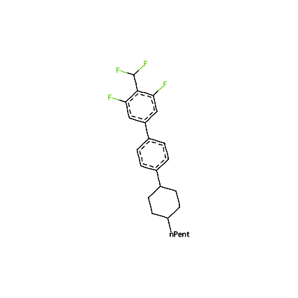 CCCCCC1CCC(c2ccc(-c3cc(F)c(C(F)F)c(F)c3)cc2)CC1